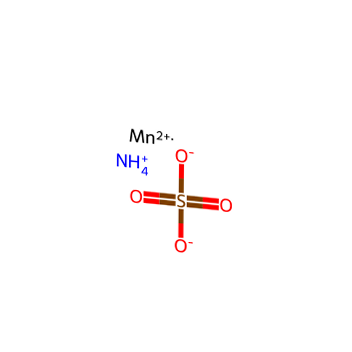 O=S(=O)([O-])[O-].[Mn+2].[NH4+]